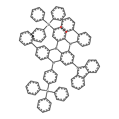 c1ccc(-c2ccc3c(c2)B2c4cc([Si](c5ccccc5)(c5ccccc5)c5ccccc5)ccc4N(c4ccccc4-c4ccccc4)c4cc(-n5c6ccccc6c6ccccc65)cc(c42)N3c2ccc([Si](c3ccccc3)(c3ccccc3)c3ccccc3)cc2)cc1